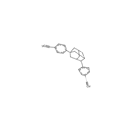 C#Cc1ccc(C2C3CC4CC2CC(c2ccc(C#C)cc2)(C4)C3)cc1